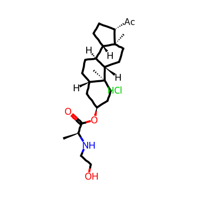 CC(=O)[C@H]1CC[C@H]2[C@@H]3CC[C@H]4C[C@H](OC(=O)[C@H](C)NCCO)CC[C@]4(C)[C@H]3CC[C@]12C.Cl